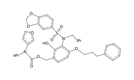 CCCN(C(=O)OCc1ccc(OCCCc2ccccc2)c(N(CC(C)C)S(=O)(=O)c2ccc3c(c2)OCO3)c1O)c1ccoc1